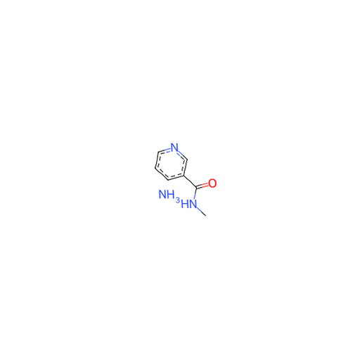 CNC(=O)c1cccnc1.N